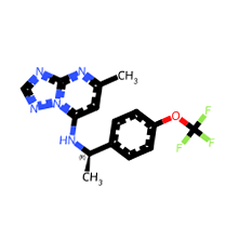 Cc1cc(N[C@H](C)c2ccc(OC(F)(F)F)cc2)n2ncnc2n1